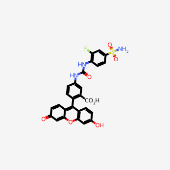 NS(=O)(=O)c1ccc(NC(=O)Nc2ccc(-c3c4ccc(=O)cc-4oc4cc(O)ccc34)c(C(=O)O)c2)c(F)c1